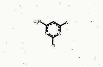 O=[N+]([O-])c1cc(Cl)nc(Cl)n1